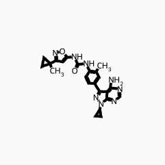 Cc1cc(-c2nn(C3CC3)c3ncnc(N)c23)ccc1NC(=O)Nc1cc(C2(C)CC2)no1